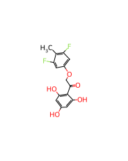 Cc1c(F)cc(OCC(=O)c2c(O)cc(O)cc2O)cc1F